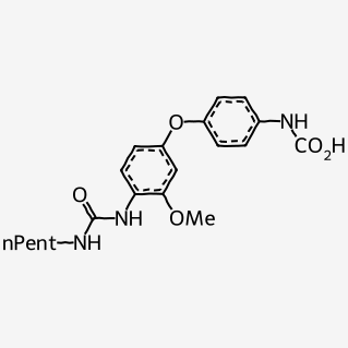 CCCCCNC(=O)Nc1ccc(Oc2ccc(NC(=O)O)cc2)cc1OC